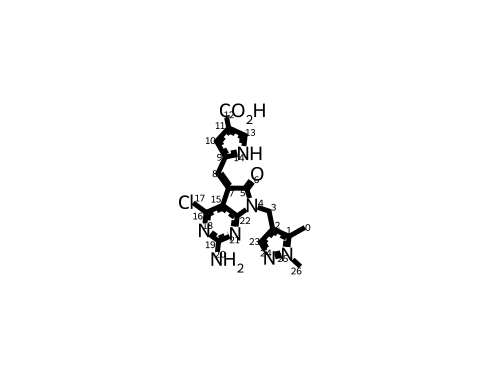 Cc1c(CN2C(=O)C(=Cc3cc(C(=O)O)c[nH]3)c3c(Cl)nc(N)nc32)cnn1C